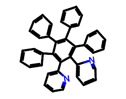 c1ccc(-c2c(-c3ccccc3)c(-c3ccccc3)c(-c3ccccn3)c(-c3ccccn3)c2-c2ccccc2)cc1